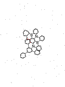 c1ccc(-c2cc(-c3ccccc3)c(N3c4ccccc4B4c5ccccc5N5c6ccccc6B6c7ccccc7Sc7cc3c4c5c76)c(-c3ccccc3)c2)cc1